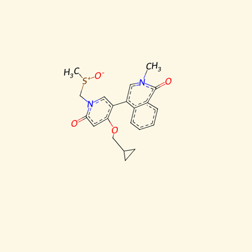 Cn1cc(-c2cn(C[S+](C)[O-])c(=O)cc2OCC2CC2)c2ccccc2c1=O